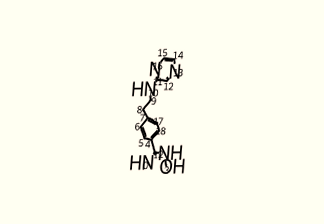 N=C(NO)c1ccc(CCNc2cnccn2)cc1